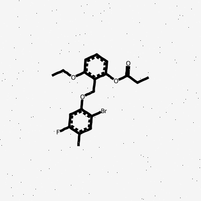 CCOc1cccc(OC(=O)CC)c1COc1cc(F)c(C)cc1Br